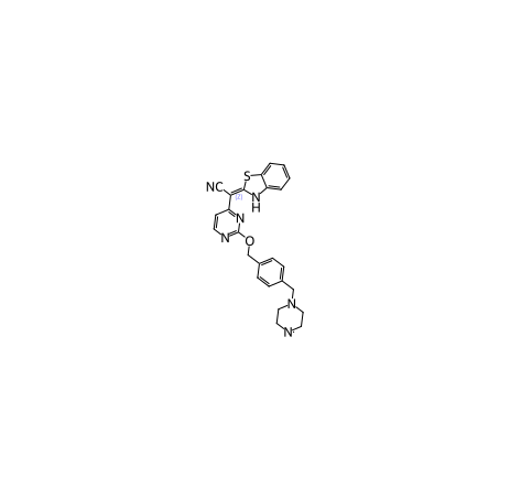 N#C/C(=C1/Nc2ccccc2S1)c1ccnc(OCc2ccc(CN3CC[N]CC3)cc2)n1